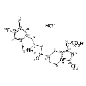 Cl.N[C@@H](CC(=O)N1CCn2c(C(F)(F)F)nc(OC(=O)O)c2C1)Cc1cc(F)c(F)cc1F